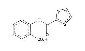 O=C(Oc1ccccc1C(=O)O)c1cccs1